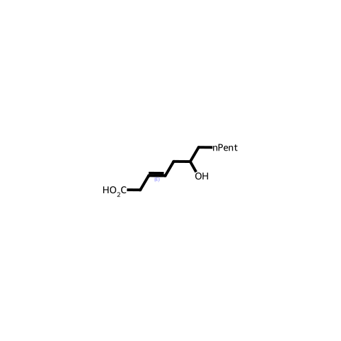 CCCCCCC(O)C/C=C/CC(=O)O